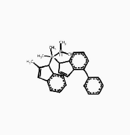 CC1=Cc2ccccc2[CH]1[Zr]([CH3])([CH3])([CH]1C=Cc2c(-c3ccccc3)cccc21)[SiH](C)C